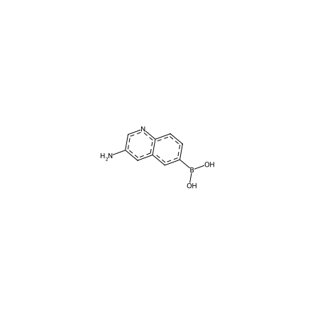 Nc1cnc2ccc(B(O)O)cc2c1